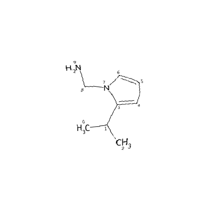 CC(C)c1cccn1CN